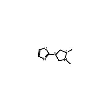 C[C@@H]1C[C@H](c2ncco2)CN1C